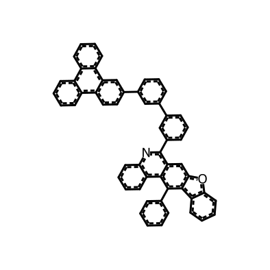 c1ccc(-c2c3c(cc4c(-c5cccc(-c6cccc(-c7ccc8c9ccccc9c9ccccc9c8c7)c6)c5)nc5ccccc5c24)oc2ccccc23)cc1